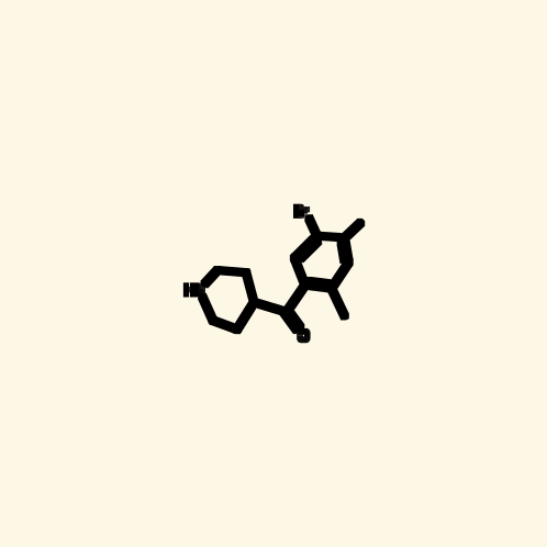 Cc1cc(C)c(C(=O)C2CCNCC2)cc1Br